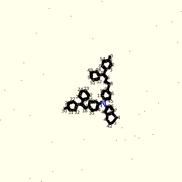 Cc1ccc(/C(=C/C=C/c2ccc(N(c3ccc(/C=C(\c4ccccc4)c4ccc(C)cc4)cc3)c3ccc4c(c3)CCCC4)cc2)c2ccccc2)cc1